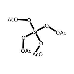 CC(=O)OO[Si](OOC(C)=O)(OOC(C)=O)OOC(C)=O